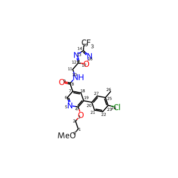 COCCOc1ncc(C(=O)NCc2nc(C(F)(F)F)no2)cc1-c1ccc(Cl)c(C)c1